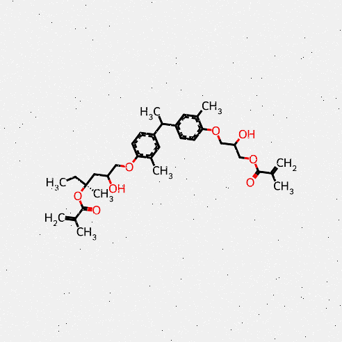 C=C(C)C(=O)OCC(O)COc1ccc(C(C)c2ccc(OCC(O)C[C@](C)(CC)OC(=O)C(=C)C)c(C)c2)cc1C